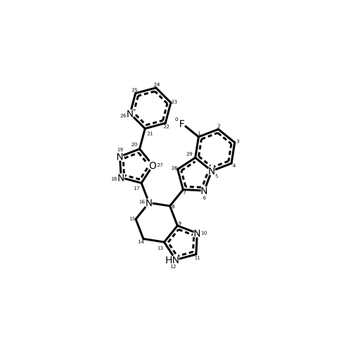 Fc1cccn2nc(C3c4nc[nH]c4CCN3c3nnc(-c4ccccn4)o3)cc12